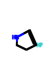 C1=CNCC1.F